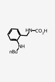 CCCCNc1ccccc1CNC(=O)O